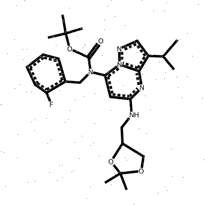 CC(C)c1cnn2c(N(Cc3ccccc3F)C(=O)OC(C)(C)C)cc(NCC3COC(C)(C)O3)nc12